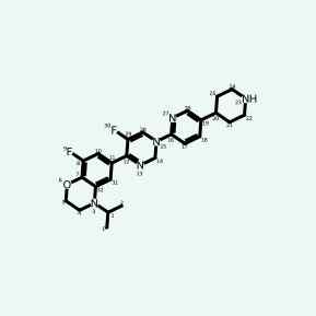 CC(C)N1CCOc2c(F)cc(C3=NCN(c4ccc(C5CCNCC5)cn4)C=C3F)cc21